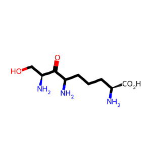 NC(CCC[C@H](N)C(=O)O)C(=O)[C@@H](N)CO